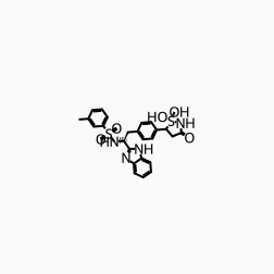 Cc1cccc(S(=O)(=O)N[C@@H](Cc2ccc(C3CC(=O)NS3(O)O)cc2)c2nc3ccccc3[nH]2)c1